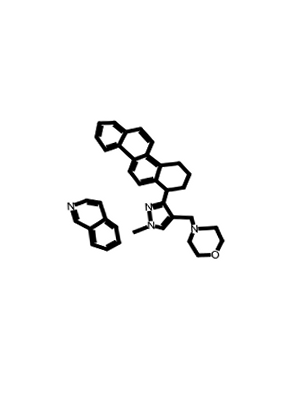 Cn1cc(CN2CCOCC2)c(C2CCCc3c2ccc2c3ccc3ccccc32)n1.c1ccc2cnccc2c1